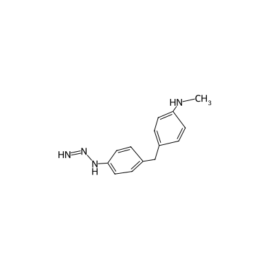 CNc1ccc(Cc2ccc(NN=N)cc2)cc1